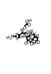 C[C@@H]1[C@@H]2CC(=O)O[C@]2(C(=O)O)N2C(=O)[C@@H](NC(=O)/C(=N\OCC(=O)O)c3csc(N)n3)[C@H]2[S@@+]1[O-]